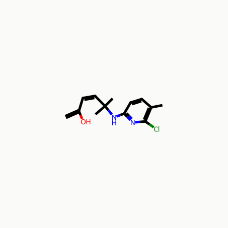 C=C(O)/C=C\C(C)(C)Nc1ccc(C)c(Cl)n1